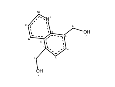 OCc1ccc(CO)c2ncccc12